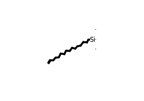 C=CCCCCCCCCCCCCCC[Si]